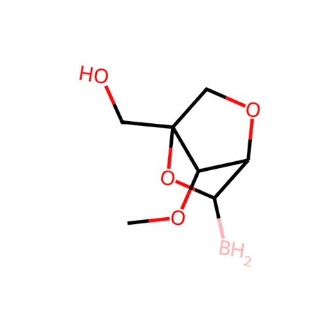 BC1OC2(CO)COC1C2OC